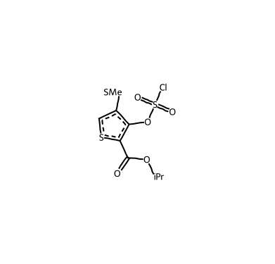 CSc1csc(C(=O)OC(C)C)c1OS(=O)(=O)Cl